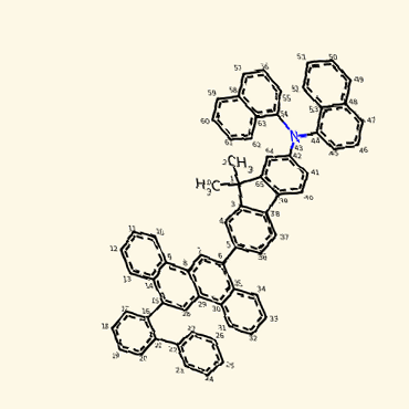 CC1(C)c2cc(-c3cc4c5ccccc5c(-c5ccccc5-c5ccccc5)cc4c4ccccc34)ccc2-c2ccc(N(c3cccc4ccccc34)c3cccc4ccccc34)cc21